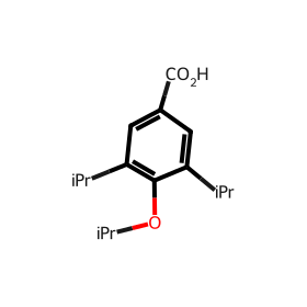 CC(C)Oc1c(C(C)C)cc(C(=O)O)cc1C(C)C